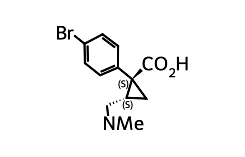 CNC[C@H]1C[C@@]1(C(=O)O)c1ccc(Br)cc1